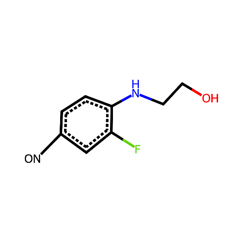 O=Nc1ccc(NCCO)c(F)c1